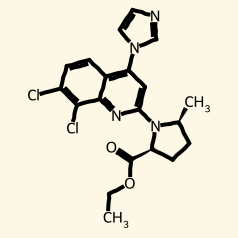 CCOC(=O)[C@@H]1CC[C@H](C)N1c1cc(-n2ccnc2)c2ccc(Cl)c(Cl)c2n1